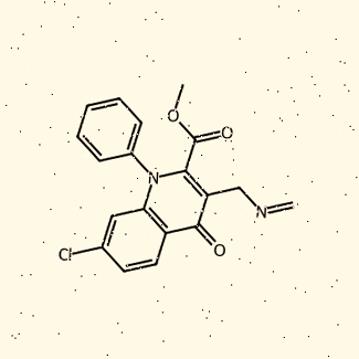 C=NCc1c(C(=O)OC)n(-c2ccccc2)c2cc(Cl)ccc2c1=O